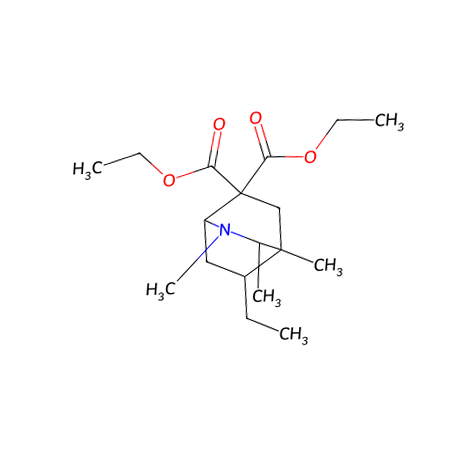 CCOC(=O)C1(C(=O)OCC)CC2(C)C(CC)CC1N(C)C2C